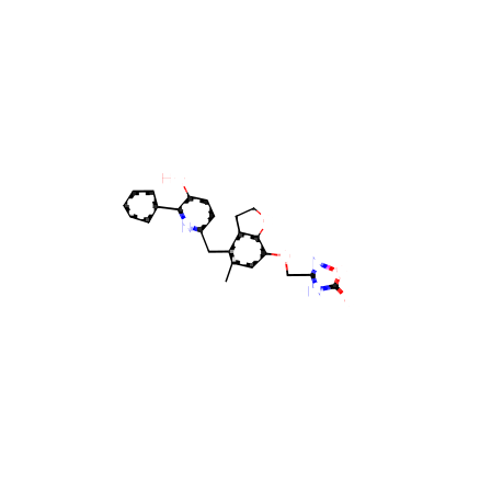 Cc1cc(OCc2noc(=O)[nH]2)c2c(c1Cc1ccc(O)c(-c3ccccc3)n1)CCO2